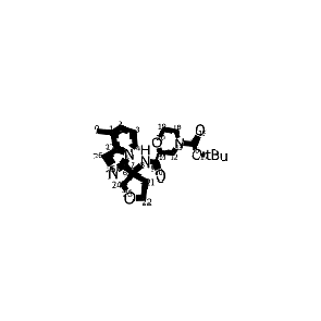 Cc1cccn2c(C3(NC(=O)[C@@H]4CN(C(=O)OC(C)(C)C)CCO4)CCOC3)ncc12